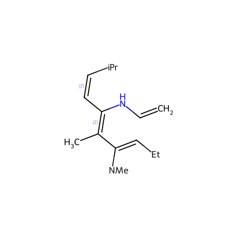 C=CNC(/C=C\C(C)C)=C(/C)C(=CCC)NC